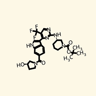 CC(C)(C)OC(=O)N1CCC[C@H](Nc2ncc(C(F)(F)F)c(-c3c[nH]c4cc(C(=O)N5CC[C@@H](O)C5)ccc34)n2)C1